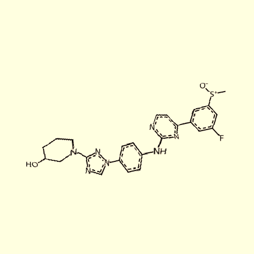 C[S+]([O-])c1cc(F)cc(-c2ccnc(Nc3ccc(-n4cnc(N5CCCC(O)C5)n4)cc3)n2)c1